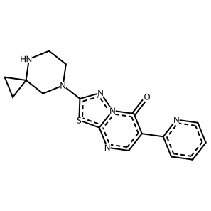 O=c1c(-c2ccccn2)cnc2sc(N3CCNC4(CC4)C3)nn12